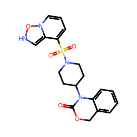 O=C1OCc2ccccc2N1C1CCN(S(=O)(=O)C2=CC=CN3ONC=C23)CC1